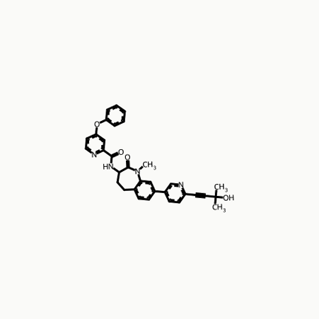 CN1C(=O)C(NC(=O)c2cc(Oc3ccccc3)ccn2)CCc2ccc(-c3ccc(C#CC(C)(C)O)nc3)cc21